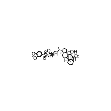 CC[C@H]1[C@@H](O)[C@@H]2[C@H](CC[C@]3(C)[C@@H]([C@H](C)CCNC(=O)NS(=O)(=O)c4ccc5c(c4)OCO5)CC[C@@H]23)[C@@]2(C)CCCC[C@@H]12